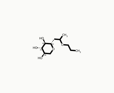 CCCOC(C)C[C@@H]1OC[C@@H](O)[C@H](O)[C@H]1O